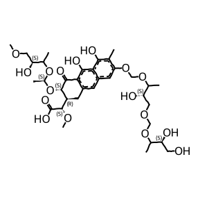 COC[C@H](O)C(C)O[C@H](C)O[C@@H]1C(=O)c2c(cc3cc(OCOC(C)[C@@H](O)COCOC(C)[C@@H](O)CO)c(C)c(O)c3c2O)C[C@H]1[C@H](OC)C(=O)O